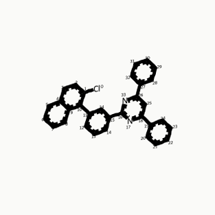 Clc1ccc2ccccc2c1-c1cccc(-c2nc(-c3ccccc3)cc(-c3ccccc3)n2)c1